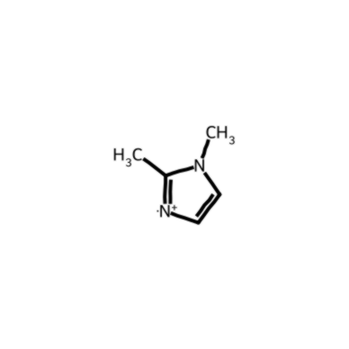 CC1=[N+]C=CN1C